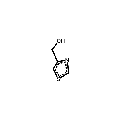 OCc1[c]scn1